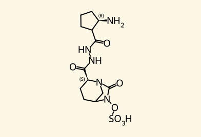 N[C@@H]1CCCC1C(=O)NNC(=O)[C@@H]1CCC2CN1C(=O)N2OS(=O)(=O)O